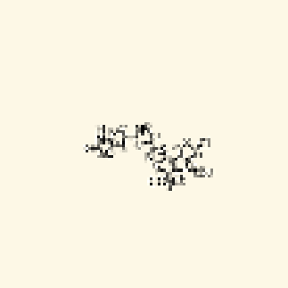 CCOC(=O)[C@@H](OC(C)(C)C)c1c(C)cc2nc(-c3ccnc(-c4cnc5c(c4)OCC(=O)N5)c3)sc2c1-c1ccc(Cl)cc1